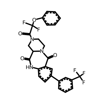 O=C1Nc2ccc(-c3cccc(C(F)(F)F)c3)cc2C(=O)N2CCN(C(=O)C(F)(F)Oc3ccccc3)CC12